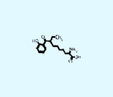 CCC(CCCCCC(N)C(=O)O)C(=O)c1ccccc1O